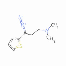 CN(C)CCC(=[N+]=[N-])c1cccs1